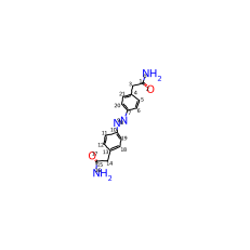 NC(=O)Cc1ccc(N=Nc2ccc(CC(N)=O)cc2)cc1